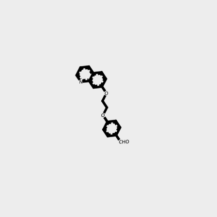 O=Cc1ccc(OCCOc2ccc3cccnc3c2)cc1